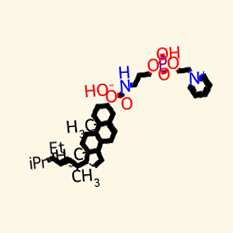 CC[C@H](/C=C/[C@@H](C)[C@H]1CCC2C3CC=C4C[C@@H](OC(=O)NCCCOP(=O)(O)OCC[n+]5ccccc5)CC[C@]4(C)C3CC[C@@]21C)C(C)C.[OH-]